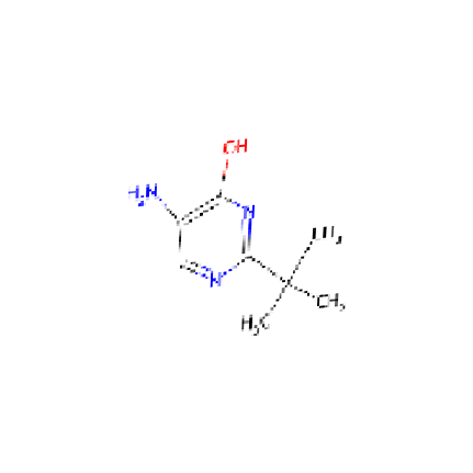 CC(C)(C)c1ncc(N)c(O)n1